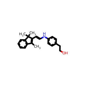 CC1=C(/C=C/Nc2ccc(CCO)cc2)C(C)(C)c2ccccc21